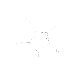 N#Cc1[nH]c(Br)c(Br)c1Br